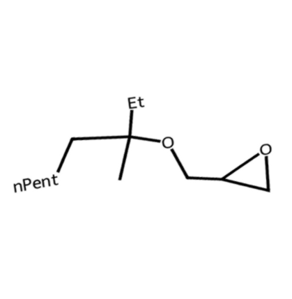 CCCCCCC(C)(CC)OCC1CO1